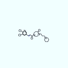 O=C(/C=C/c1cnc(Cl)c(Cl)c1)N1CCC(=O)N(CCCN2CCCCC2)CC1